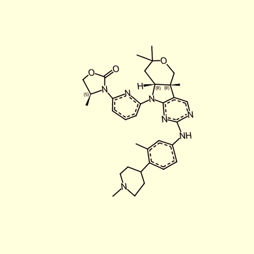 Cc1cc(Nc2ncc3c(n2)N(c2cccc(N4C(=O)OC[C@@H]4C)n2)[C@@H]2CC(C)(C)OC[C@]32C)ccc1C1CCN(C)CC1